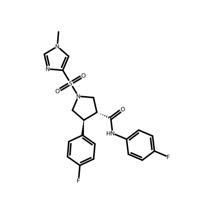 Cn1cnc(S(=O)(=O)N2C[C@H](C(=O)Nc3ccc(F)cc3)[C@@H](c3ccc(F)cc3)C2)c1